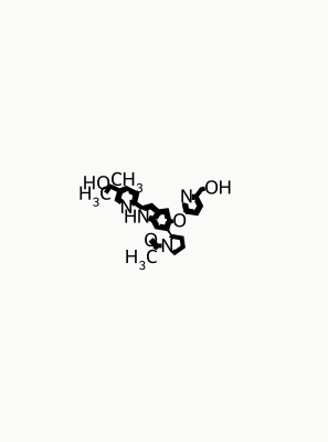 CC(=O)N1CCC[C@@H]1c1cc2[nH]c(-c3ccc(C(C)(C)O)cn3)cc2cc1Oc1ccc(CO)nc1